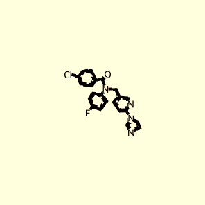 O=C(c1ccc(Cl)cc1)N(Cc1ccc(-n2ccnc2)nc1)c1ccc(F)cc1